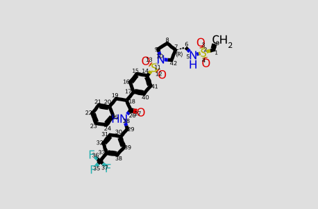 C=CS(=O)(=O)NC[C@H]1CCN(S(=O)(=O)c2ccc(C(Cc3ccccc3)C(=O)NCc3ccc(C(F)(F)F)cc3)cc2)C1